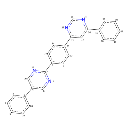 c1ccc(-c2cnc(-c3ccc(-c4cc(-c5ccccc5)ncn4)cc3)nc2)cc1